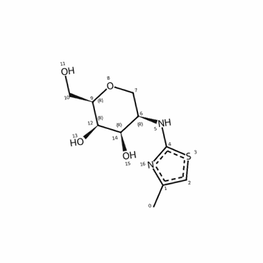 Cc1csc(N[C@@H]2CO[C@H](CO)[C@H](O)[C@@H]2O)n1